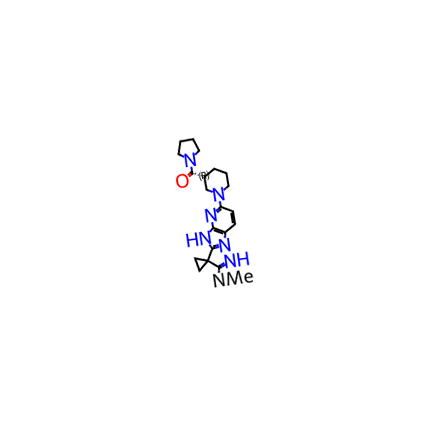 CNC(=N)C1(c2nc3ccc(N4CCC[C@@H](C(=O)N5CCCC5)C4)nc3[nH]2)CC1